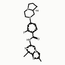 Cc1cn2cc(NC(=O)c3ccc(N4CCN5CCC[C@H]5C4)cc3F)nc(C)c2n1